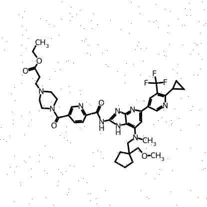 CCOC(=O)CCN1CCN(C(=O)c2ccc(C(=O)Nc3nc4nc(-c5cnc(C6CC6)c(C(F)(F)F)c5)cc(N(C)CC5(COC)CCCC5)c4[nH]3)nc2)CC1